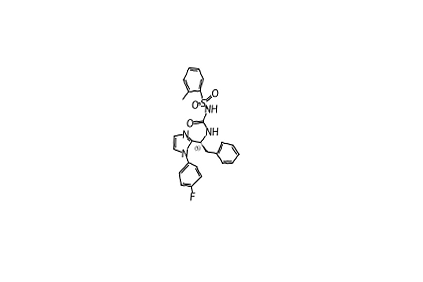 Cc1ccccc1S(=O)(=O)NC(=O)N[C@@H](Cc1ccccc1)c1nccn1-c1ccc(F)cc1